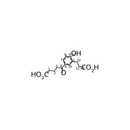 O=C(O)CCCC(=O)c1ccc(O)c(CCC(=O)O)c1